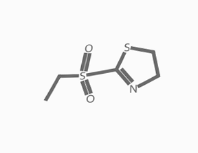 CCS(=O)(=O)C1=NCCS1